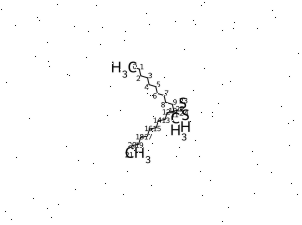 CCCCCCCCCCC(C)(CCCCCCCCCC)C(=S)S